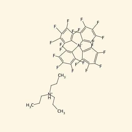 CCC[NH+](CCC)CCC.Fc1c(F)c(F)[c]([Al-]([c]2c(F)c(F)c(F)c(F)c2F)([c]2c(F)c(F)c(F)c(F)c2F)[c]2c(F)c(F)c(F)c(F)c2F)c(F)c1F